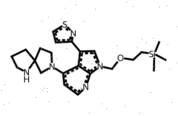 C[Si](C)(C)CCOCn1cc(-c2ccsn2)c2c(N3CCC4(CCCN4)C3)ccnc21